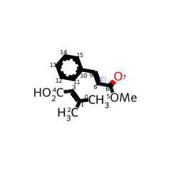 CC(C)=CC(=O)O.COC(=O)/C=C/c1ccccc1